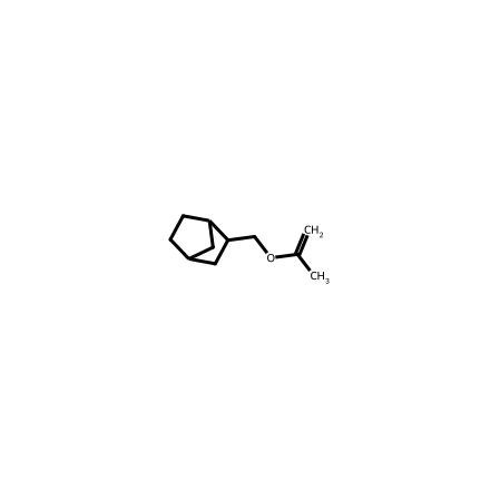 C=C(C)OCC1CC2CCC1C2